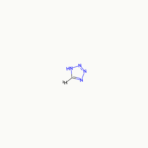 [2H]c1nnn[nH]1